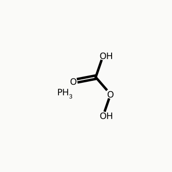 O=C(O)OO.P